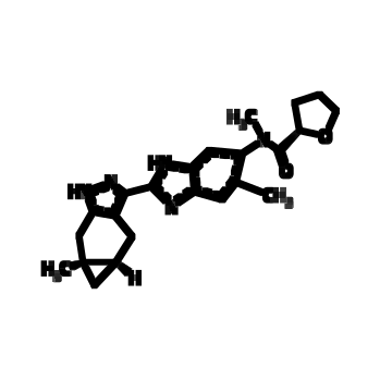 Cc1cc2nc(-c3n[nH]c4c3C[C@@H]3C[C@]3(C)C4)[nH]c2cc1N(C)C(=O)[C@H]1CCCO1